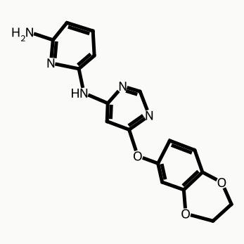 Nc1cccc(Nc2cc(Oc3ccc4c(c3)OCCO4)ncn2)n1